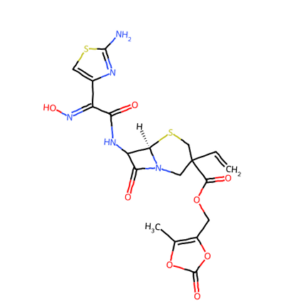 C=CC1(C(=O)OCc2oc(=O)oc2C)CS[C@@H]2C(NC(=O)C(=NO)c3csc(N)n3)C(=O)N2C1